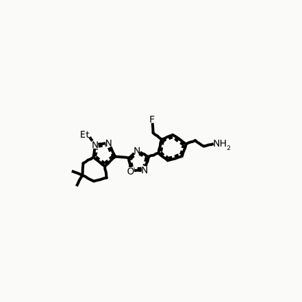 CCn1nc(-c2nc(-c3ccc(CCN)cc3CF)no2)c2c1CC(C)(C)CC2